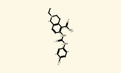 CCN1CCc2c(ccc(NC(=O)Nc3ccc(Cl)cc3)c2C(N)=O)C1